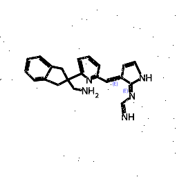 N=C/N=C1/NC=C/C1=C\c1cccc(C2(CN)Cc3ccccc3C2)n1